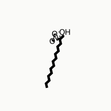 CCCCCCCCCCCCCC(CO)[N+](=O)[O-]